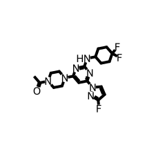 CC(=O)N1CCN(c2cc(-n3ccc(F)n3)nc(NC3CCC(F)(F)CC3)n2)CC1